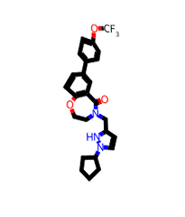 O=C1c2cc(-c3ccc(OC(F)(F)F)cc3)ccc2OCCN1CC1C=CN(C2CCCC2)N1